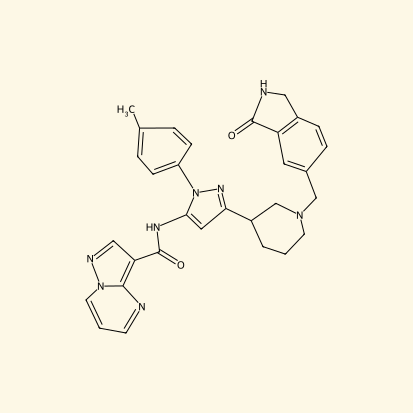 Cc1ccc(-n2nc(C3CCCN(Cc4ccc5c(c4)C(=O)NC5)C3)cc2NC(=O)c2cnn3cccnc23)cc1